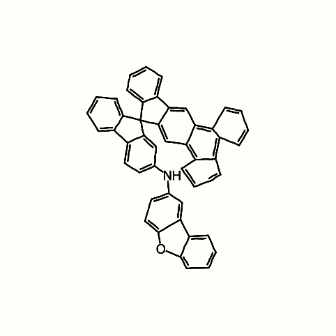 c1ccc2c(c1)-c1ccc(Nc3ccc4oc5ccccc5c4c3)cc1C21c2ccccc2-c2cc3c4ccccc4c4ccccc4c3cc21